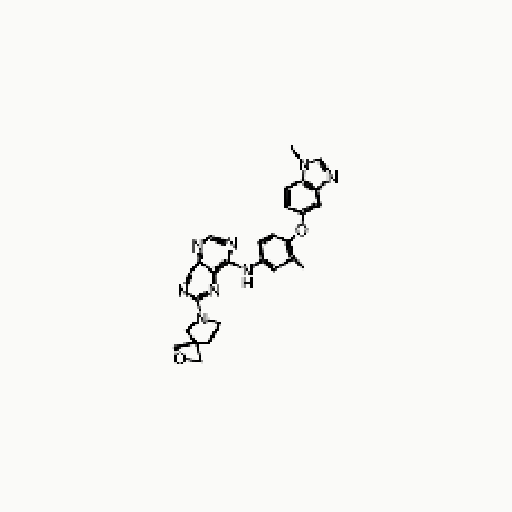 Cc1cc(Nc2ncnc3cnc(N4CCC5(COC5)C4)nc23)ccc1Oc1ccc2c(c1)ncn2C